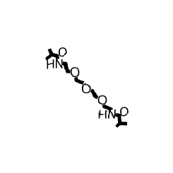 CC(C)C(=O)NCCOCCOCCOCCNC(=O)C(C)C